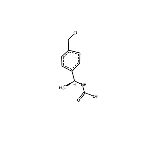 C[C@H](NC(=O)O)c1ccc(CCl)cc1